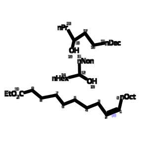 CCCCCCCC/C=C\CCCCCCCC(=O)OCC.CCCCCCCCCC(O)CCCCCC.CCCCCCCCCCCCC(O)CCC